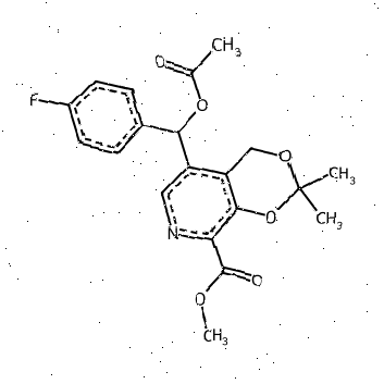 COC(=O)c1ncc(C(OC(C)=O)c2ccc(F)cc2)c2c1OC(C)(C)OC2